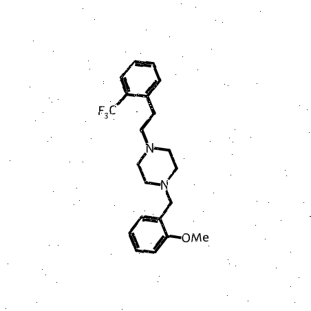 COc1ccccc1CN1CCN(CCc2ccccc2C(F)(F)F)CC1